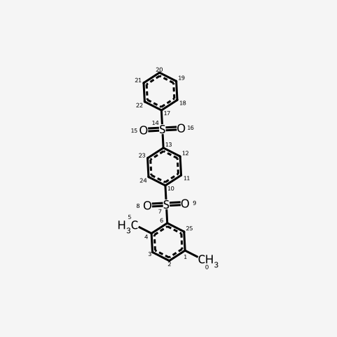 Cc1ccc(C)c(S(=O)(=O)c2ccc(S(=O)(=O)c3ccccc3)cc2)c1